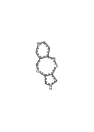 c1cc2nsc3c[nH]cc3occ2cn1